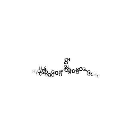 C=CC(=O)OCCCOc1ccc(OC(=O)C2CCC(C(=O)Oc3ccc(CCOC(=O)C4CCC(C(=O)Oc5ccc(OC(COC(=O)C=C)OC(=O)C=C)cc5)CC4)c4sc(-c5ccc(C#N)cc5)nc34)CC2)cc1